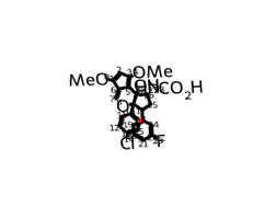 COC1=CC(OC)=C2C1=COC1(c3ccc(Cl)cc3)C(c3cccc(F)c3)CC(NC(=O)O)C21O